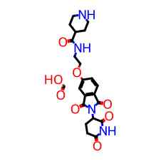 O=C1CCC(N2C(=O)c3ccc(OCCNC(=O)C4CCNCC4)cc3C2=O)C(=O)N1.O=CO